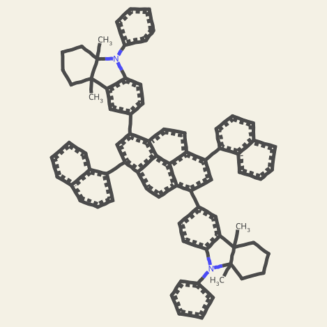 CC12CCCCC1(C)N(c1ccccc1)c1ccc(-c3cc(-c4cccc5ccccc45)c4ccc5c(-c6ccc7c(c6)C6(C)CCCCC6(C)N7c6ccccc6)cc(-c6cccc7ccccc67)c6ccc3c4c56)cc12